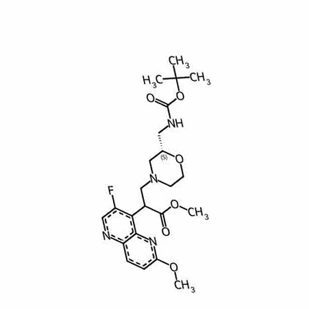 COC(=O)C(CN1CCO[C@@H](CNC(=O)OC(C)(C)C)C1)c1c(F)cnc2ccc(OC)nc12